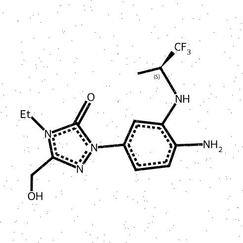 CCn1c(CO)nn(-c2ccc(N)c(N[C@@H](C)C(F)(F)F)c2)c1=O